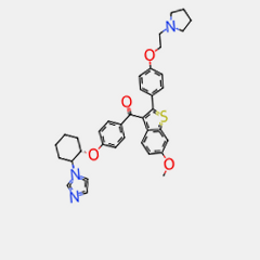 COc1ccc2c(C(=O)c3ccc(O[C@H]4CCCC[C@@H]4n4ccnc4)cc3)c(-c3ccc(OCCN4CCCC4)cc3)sc2c1